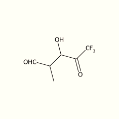 CC(C=O)C(O)C(=O)C(F)(F)F